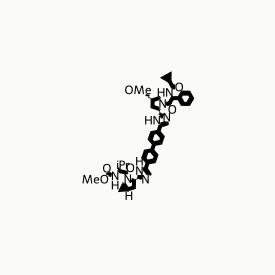 COC[C@H]1C[C@@H](c2ncc(-c3ccc(-c4ccc(-c5cnc([C@@H]6C[C@H]7C=C7N6C(=O)[C@@H](NC(=O)OC)C(C)C)[nH]5)cc4)cc3)[nH]2)N(C(=O)[C@H](NC(=O)C2CC2)c2ccccc2)C1